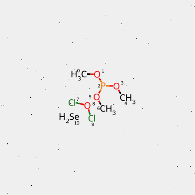 COP(OC)OC.ClOCl.[SeH2]